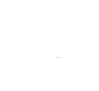 Cc1ccc2c(c1)C(C)(C[Si](C)(C)C(C)(C)C)C(=O)n1c-2nc2ccccc21